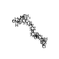 Cn1nc(N2CCC(=O)NC2=O)c2ccc(C3CCN(CC4CCN(c5cccc(S(=O)(=O)N6CCC(Nc7ncc(Cl)cn7)CC6)c5)CC4)CC3)c(F)c21